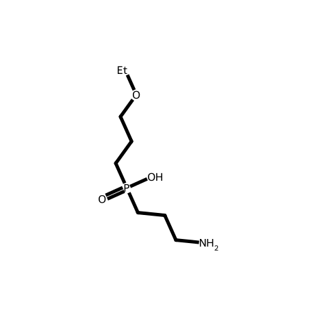 CCOCCCP(=O)(O)CCCN